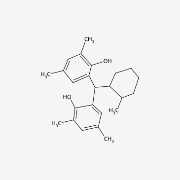 Cc1cc(C)c(O)c(C(c2cc(C)cc(C)c2O)C2CCCCC2C)c1